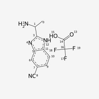 CC(N)c1nc2cc(C#N)ccc2[nH]1.O=C(O)C(F)(F)F